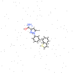 Cc1cc(C(N)=O)nn1-c1cccc(-c2cccc3ccsc23)c1